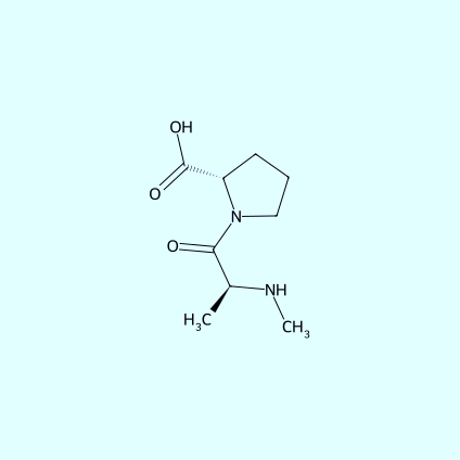 CN[C@@H](C)C(=O)N1CCC[C@H]1C(=O)O